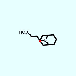 O=C(O)CCCB1C2CCCC1CCC2